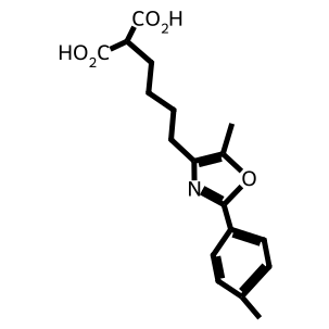 Cc1ccc(-c2nc(CCCCC(C(=O)O)C(=O)O)c(C)o2)cc1